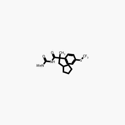 CNC(=O)NC(=O)C(C)(CC1CCCC1)c1ccc(SC(F)(F)F)cc1